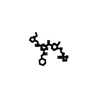 CCN1CCCC1CNc1nc(NCC2CCCCC2)nc(Nc2ccc(OCOP(=O)(O)O)c(F)c2)n1